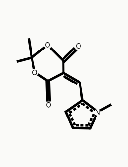 Cn1cccc1C=C1C(=O)OC(C)(C)OC1=O